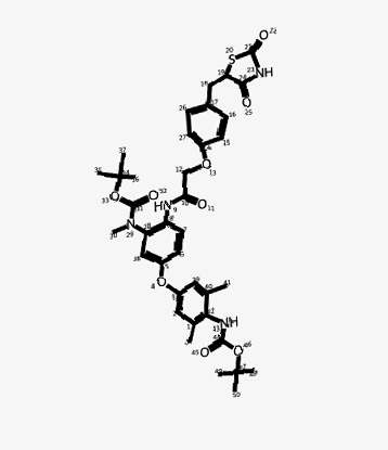 Cc1cc(Oc2ccc(NC(=O)COc3ccc(CC4SC(=O)NC4=O)cc3)c(N(C)C(=O)OC(C)(C)C)c2)cc(C)c1NC(=O)OC(C)(C)C